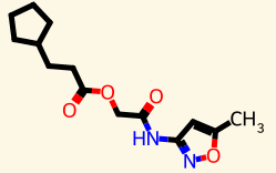 Cc1cc(NC(=O)COC(=O)CCC2CCCC2)no1